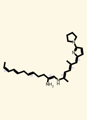 C/C=C\C=CC/C=C/CC/C(N)=C/N/C(C)=C/C=C(C)/C=C1/C=CC(N2CCCC2)=N1